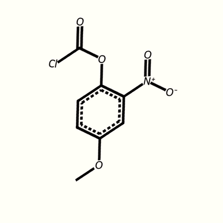 COc1ccc(OC(=O)Cl)c([N+](=O)[O-])c1